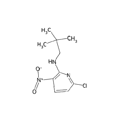 CC(C)(C)CNc1nc(Cl)ccc1[N+](=O)[O-]